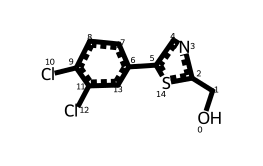 OCc1ncc(-c2ccc(Cl)c(Cl)c2)s1